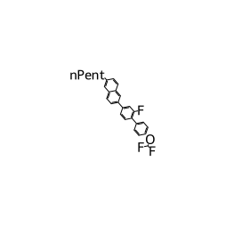 CCCCCc1ccc2cc(-c3ccc(-c4ccc(OC(F)F)cc4)c(F)c3)ccc2c1